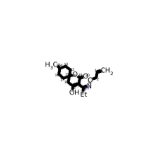 C=CCO/N=C(/CC)C1=C(O)CC2(CCC(C)CC2)OC1=O